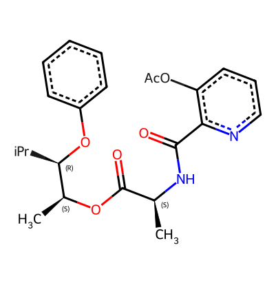 CC(=O)Oc1cccnc1C(=O)N[C@@H](C)C(=O)O[C@@H](C)[C@H](Oc1ccccc1)C(C)C